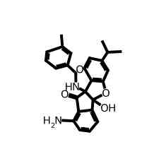 Cc1cccc(C(=O)NC23C(=O)c4c(N)cccc4C2(O)Oc2cc(C(C)C)ccc23)c1